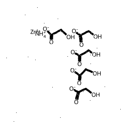 O=C([O-])CO.O=C([O-])CO.O=C([O-])CO.O=C([O-])CO.O=C([O-])CO.[NH4+].[Zr+4]